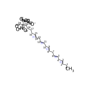 CC/C=C/C/C=C/C/C=C/C/C=C/C/C=C/CCCC([N+](=O)[O-])C([C]=O)([N+](=O)[O-])[N+](=O)[O-]